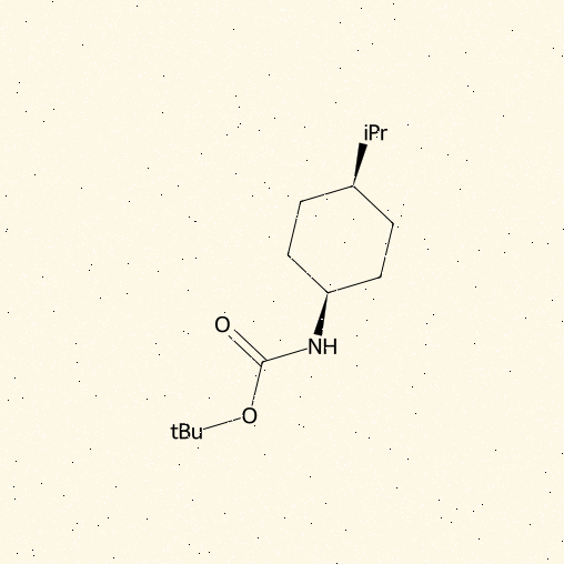 CC(C)[C@H]1CC[C@@H](NC(=O)OC(C)(C)C)CC1